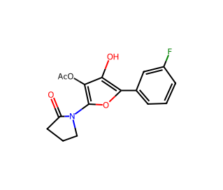 CC(=O)Oc1c(N2CCCC2=O)oc(-c2cccc(F)c2)c1O